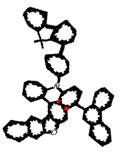 CC1(C)c2ccccc2-c2cccc(-c3ccc(N(c4ccc(-c5cc6ccccc6c6ccccc56)cc4)c4ccccc4-c4cccc5oc6cc7ccccc7cc6c45)cc3)c21